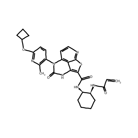 C=CC(=O)N[C@H]1CCCC[C@H]1NC(=O)c1sc2nccc3c2c1NC(=O)N3c1ccc(OC2CCC2)nc1C